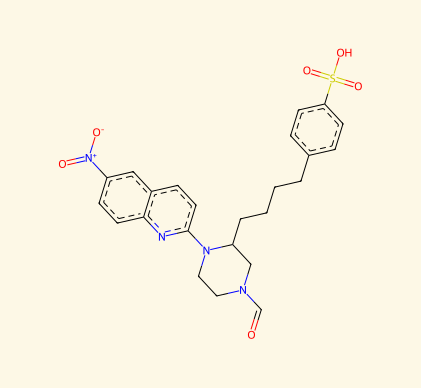 O=CN1CCN(c2ccc3cc([N+](=O)[O-])ccc3n2)C(CCCCc2ccc(S(=O)(=O)O)cc2)C1